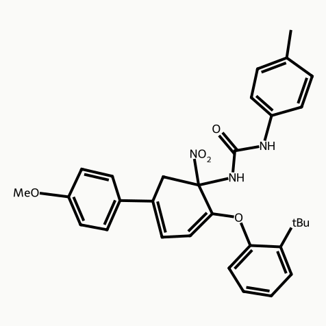 COc1ccc(C2=CC=C(Oc3ccccc3C(C)(C)C)C(NC(=O)Nc3ccc(C)cc3)([N+](=O)[O-])C2)cc1